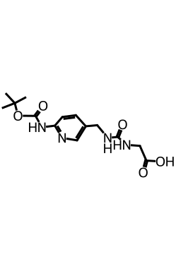 CC(C)(C)OC(=O)Nc1ccc(CNC(=O)NCC(=O)O)cn1